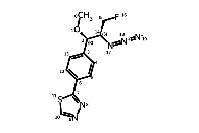 CO[C@H](c1ccc(-c2nncs2)cc1)[C@@H](CF)N=[N+]=[N-]